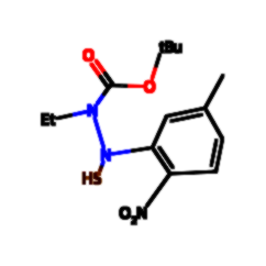 CCN(C(=O)OC(C)(C)C)N(S)c1cc(C)ccc1[N+](=O)[O-]